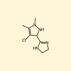 CC1=C(Cl)C(C2=NCCN2)NN1C